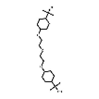 CC(C)(O)C1CCC(OCCOCCOC2CCC(C(C)(C)O)CC2)CC1